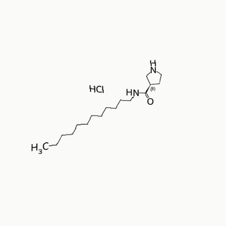 CCCCCCCCCCCCNC(=O)[C@@H]1CCNC1.Cl